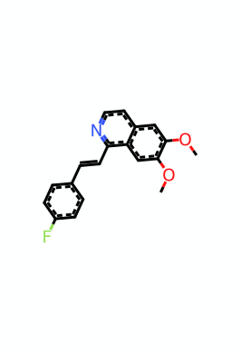 COc1cc2ccnc(C=Cc3ccc(F)cc3)c2cc1OC